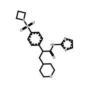 O=C(Nc1nccs1)C(CC1CCOCC1)c1ccc(S(=O)(=O)N2CCC2)cc1